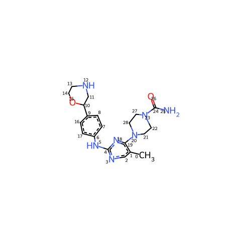 Cc1cnc(Nc2ccc(C3CNCCO3)cc2)nc1N1CCN(C(N)=O)CC1